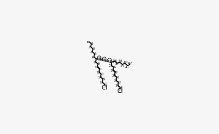 CCCCCCCC(CCC=CCCCCCCCl)OCOCOC(CCC=CCCCCCCCl)CCCCCCC